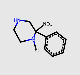 CCN1CCNCC1(c1ccccc1)[N+](=O)[O-]